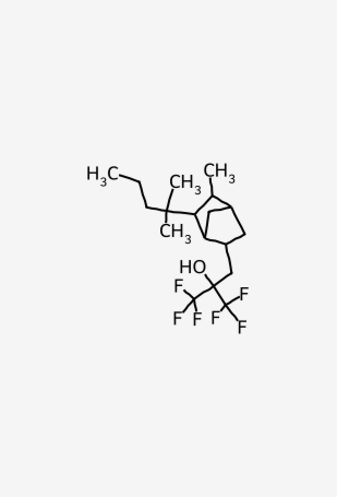 CCCC(C)(C)C1C(C)C2CC(CC(O)(C(F)(F)F)C(F)(F)F)C1C2